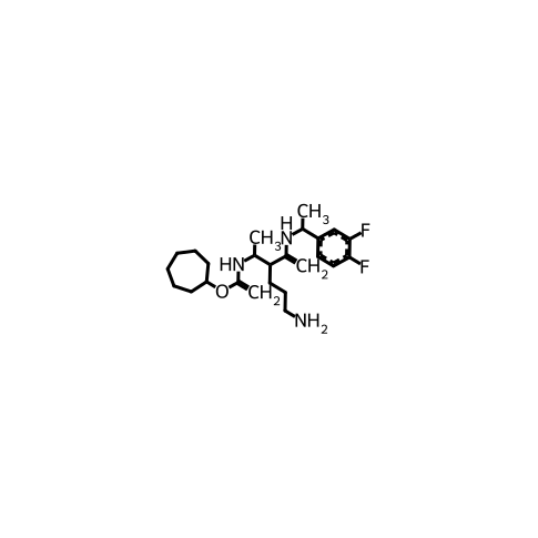 C=C(NC(C)C(CCCN)C(=C)NC(C)c1ccc(F)c(F)c1)OC1CCCCCC1